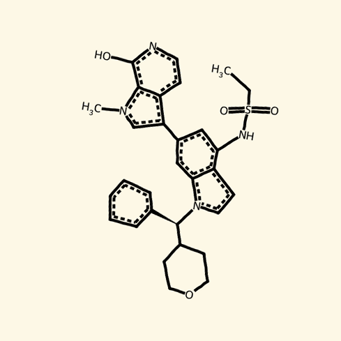 CCS(=O)(=O)Nc1cc(-c2cn(C)c3c(O)nccc23)cc2c1ccn2[C@H](c1ccccc1)C1CCOCC1